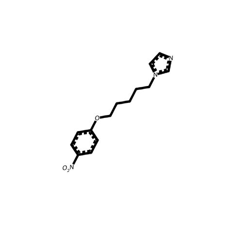 O=[N+]([O-])c1ccc(OCCCCCn2ccnc2)cc1